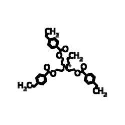 C=CC[N+](CCOC(=O)c1ccc(C=C)cc1)(CCOC(=O)c1ccc(C=C)cc1)CCOC(=O)c1ccc(C=C)cc1